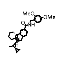 COc1ccc(CNC(=O)c2ccc3c(c2)[C@]24CCCCC2[C@H](C3)N(C(C)C2CC2)CC4)c(OC)c1